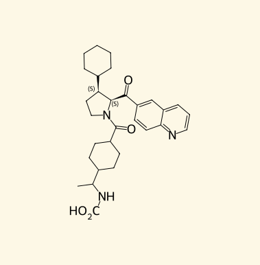 CC(NC(=O)O)C1CCC(C(=O)N2CC[C@@H](C3CCCCC3)[C@H]2C(=O)c2ccc3ncccc3c2)CC1